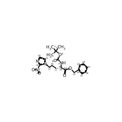 CC(C)(C)OC(=O)N[C@@H](CCCn1ccnc1[N+](=O)[O-])C(=O)OCc1ccccc1